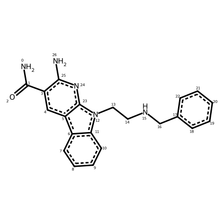 NC(=O)c1cc2c3ccccc3n(CCNCc3ccccc3)c2nc1N